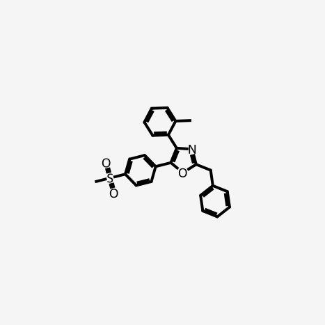 Cc1ccccc1-c1nc(Cc2ccccc2)oc1-c1ccc(S(C)(=O)=O)cc1